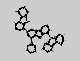 c1ccc(-c2cc(-c3cccc4c3sc3ccccc34)cc3c2sc2c(-n4c5ccccc5c5ccccc54)cccc23)cc1